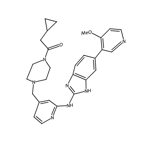 COc1ccncc1-c1ccc2nc(Nc3cc(CN4CCN(C(=O)CC5CC5)CC4)ccn3)[nH]c2c1